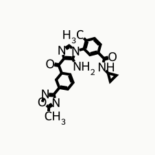 Cc1nc(C2=CC=CC(C(=O)c3ncn(-c4cc(C(=O)NC5CC5)ccc4C)c3N)C2)no1